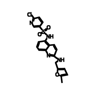 Cc1ccc(CNc2ccc3c(NS(=O)(=O)c4ccc(Cl)nc4)cccc3n2)o1